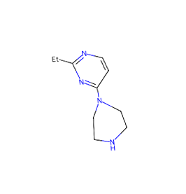 CCc1nccc(N2CCNCC2)n1